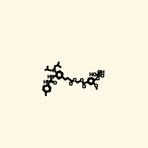 COc1cc(C(=O)OCOC(=O)CCc2ccc(N(CC(C)C)CC(C)C)c(NC(=O)Nc3ccc(C)cc3)c2)ccc1OP(=O)(O)O